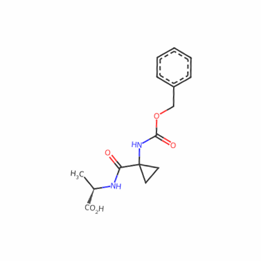 C[C@@H](NC(=O)C1(NC(=O)OCc2ccccc2)CC1)C(=O)O